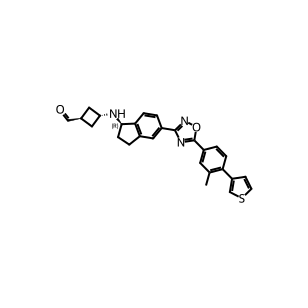 Cc1cc(-c2nc(-c3ccc4c(c3)CC[C@H]4N[C@H]3C[C@H](C=O)C3)no2)ccc1-c1ccsc1